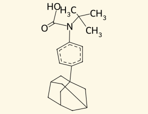 CC(C)(C)N(C(=O)O)c1ccc(C23CC4CC(CC(C4)C2)C3)cc1